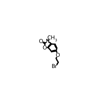 Cn1c(=O)oc2cc(OCCBr)ccc21